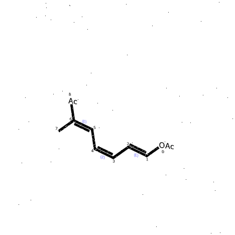 CC(=O)O/C=C/C=C\C=C(/C)C(C)=O